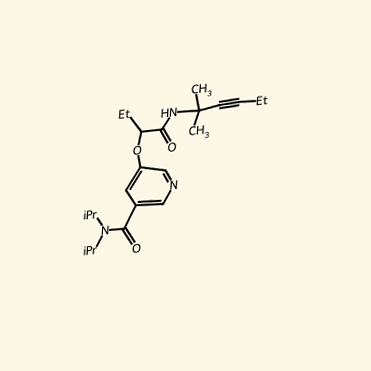 CCC#CC(C)(C)NC(=O)C(CC)Oc1cncc(C(=O)N(C(C)C)C(C)C)c1